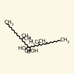 CCCCCCCCCCCCC(CCCC/C(C(=O)O)=C(\CCCCC(CCCCCCCCCCCC)C(C)C)C(=O)O)C(C)C